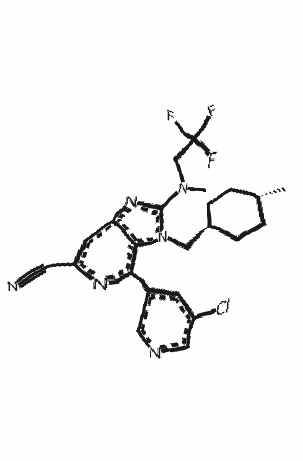 CN(CC(F)(F)F)c1nc2cc(C#N)nc(-c3cncc(Cl)c3)c2n1C[C@H]1CC[C@H](C)CC1